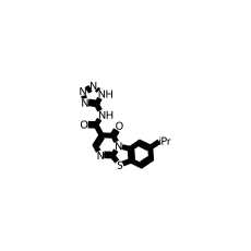 CC(C)c1ccc2sc3ncc(C(=O)Nc4nnn[nH]4)c(=O)n3c2c1